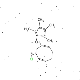 C1=C\CC/C=C\CC/1.Cc1c(C)c(C)[c-](C)c1C.[Cl][Ru+]